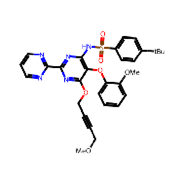 COCC#CCOc1nc(-c2ncccn2)nc(NS(=O)(=O)c2ccc(C(C)(C)C)cc2)c1Oc1ccccc1OC